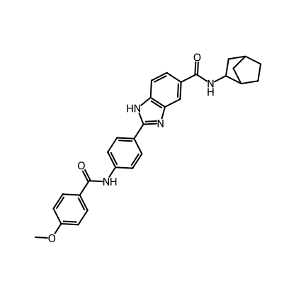 COc1ccc(C(=O)Nc2ccc(-c3nc4cc(C(=O)NC5CC6CCC5C6)ccc4[nH]3)cc2)cc1